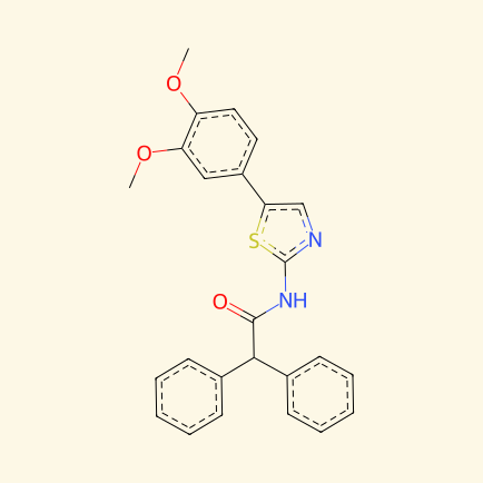 COc1ccc(-c2cnc(NC(=O)C(c3ccccc3)c3ccccc3)s2)cc1OC